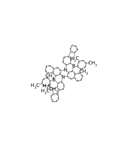 Cc1cc(C)c(B2c3c(ccc4c3C(C)(C)c3ccccc3-4)N3c4cc5ccccc5c5c4N(c4ccc6c(c4B5c4c(C)cc(C)cc4C)Cc4ccccc4-6)c4cc5ccccc5c2c43)c(C)c1